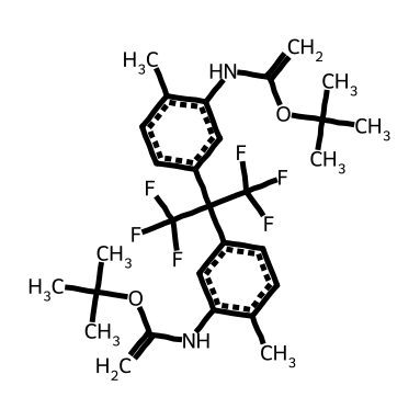 C=C(Nc1cc(C(c2ccc(C)c(NC(=C)OC(C)(C)C)c2)(C(F)(F)F)C(F)(F)F)ccc1C)OC(C)(C)C